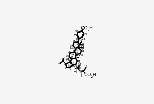 C=C(C)[C@@H]1CC[C@]2(NC(=O)N[C@@H](C)C(=O)O)CC[C@]3(C)[C@H](CC[C@@H]4[C@@]5(C)CC=C(c6ccc(C(=O)O)cc6)C(C)(C)[C@@H]5CC[C@]43C)[C@@H]12